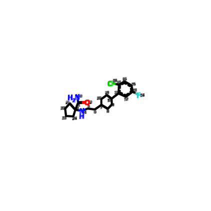 NC(=O)C1(NCCC2CCC(c3cc(F)ccc3Cl)CC2)CCCC1